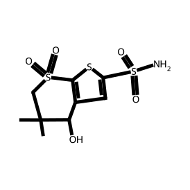 CC1(C)CS(=O)(=O)c2sc(S(N)(=O)=O)cc2C1O